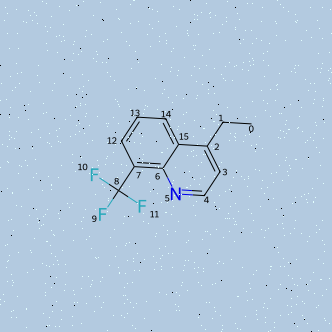 CCc1ccnc2c(C(F)(F)F)cccc12